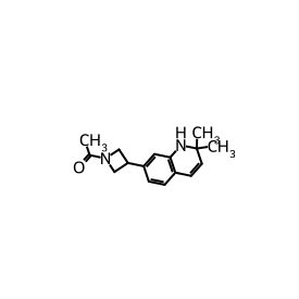 CC(=O)N1CC(c2ccc3c(c2)NC(C)(C)C=C3)C1